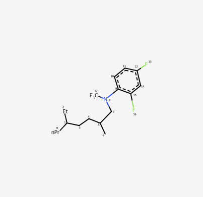 CCCC(CC)CCC(C)CN(c1ccc(F)cc1F)C(F)(F)F